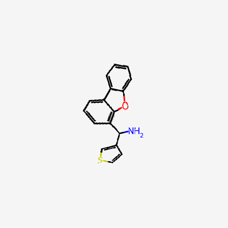 NC(c1ccsc1)c1cccc2c1oc1ccccc12